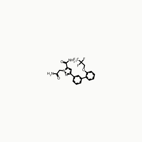 NC(=O)Cn1nc(-c2cccc(-c3ccccc3OCC(F)(F)C(F)(F)F)c2)cc1C(N)=O